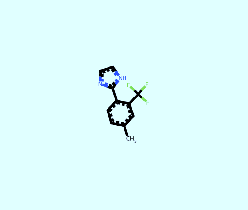 Cc1ccc(-c2ncc[nH]2)c(C(F)(F)F)c1